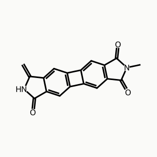 C=C1NC(=O)c2cc3c(cc21)c1cc2c(=O)n(C)c(=O)c2cc31